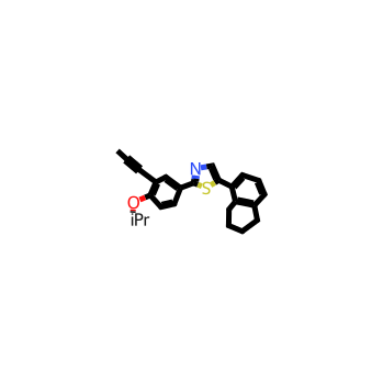 CC#Cc1cc(-c2ncc(-c3cccc4c3CCCC4)s2)ccc1OC(C)C